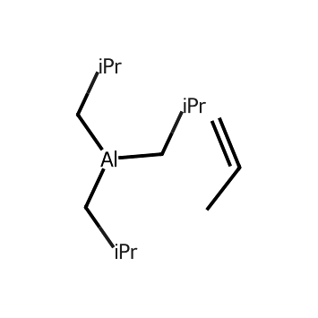 C=CC.CC(C)[CH2][Al]([CH2]C(C)C)[CH2]C(C)C